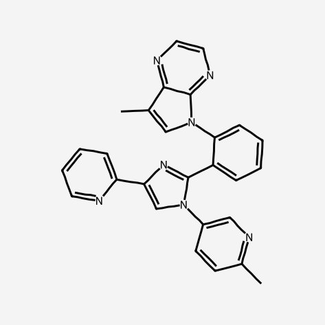 Cc1ccc(-n2cc(-c3ccccn3)nc2-c2ccccc2-n2cc(C)c3nccnc32)cn1